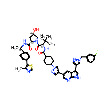 Cc1ncsc1-c1ccc([C@H](C)NC(=O)[C@@H]2C[C@@H](O)CN2C(=O)[C@@H](NC(=O)C2CCC(n3cc(-c4cnc5[nH]cc(-c6cnn(Cc7cccc(F)c7)c6)c5c4)cn3)CC2)C(C)(C)C)cc1